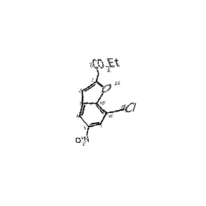 CCOC(=O)c1cc2cc([N+](=O)[O-])cc(Cl)c2o1